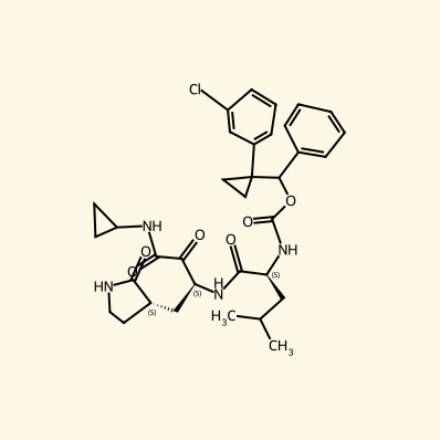 CC(C)C[C@H](NC(=O)OC(c1ccccc1)C1(c2cccc(Cl)c2)CC1)C(=O)N[C@@H](C[C@@H]1CCNC1=O)C(=O)C(=O)NC1CC1